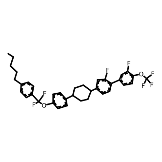 CCCCCc1ccc(C(F)(F)Oc2ccc(C3CCC(c4ccc(-c5ccc(OC(F)(F)F)c(F)c5)c(F)c4)CC3)cc2)cc1